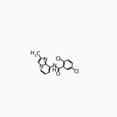 Cc1cn2cccc(NC(=O)c3cc(Cl)ccc3Cl)c2n1